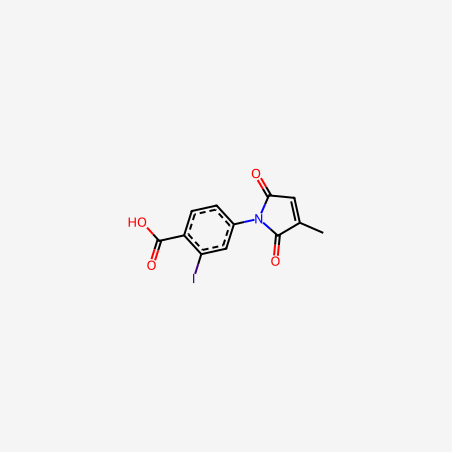 CC1=CC(=O)N(c2ccc(C(=O)O)c(I)c2)C1=O